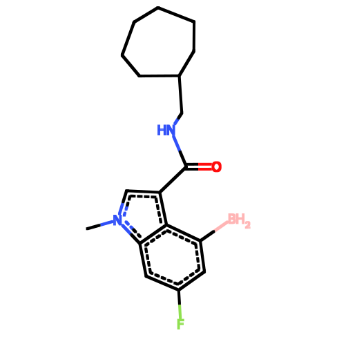 Bc1cc(F)cc2c1c(C(=O)NCC1CCCCCC1)cn2C